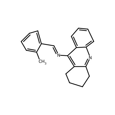 Cc1ccccc1/C=N/c1c2c(nc3ccccc13)CCCC2